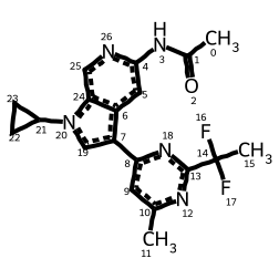 CC(=O)Nc1cc2c(-c3cc(C)nc(C(C)(F)F)n3)cn(C3CC3)c2cn1